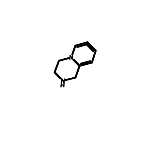 C1=CC=C2CNCCN2C=1